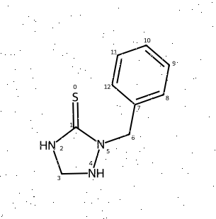 S=C1NCNN1Cc1ccccc1